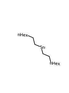 CCCCCCC[CH2][Sn][CH2]CCCCCCC